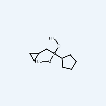 CO[Si]([CH]C1CC1)(OC)C1CCCC1